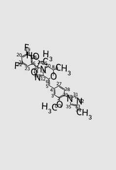 COc1cc(/C=C2\O[C@H](C)CN3C2=NO[C@@]3(c2cc(F)cc(F)c2)C(C)O)ccc1-n1cnc(C)c1